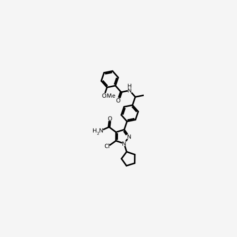 COc1ccccc1C(=O)NC(C)c1ccc(-c2nn(C3CCCC3)c(Cl)c2C(N)=O)cc1